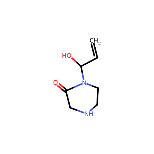 C=CC(O)N1CCNCC1=O